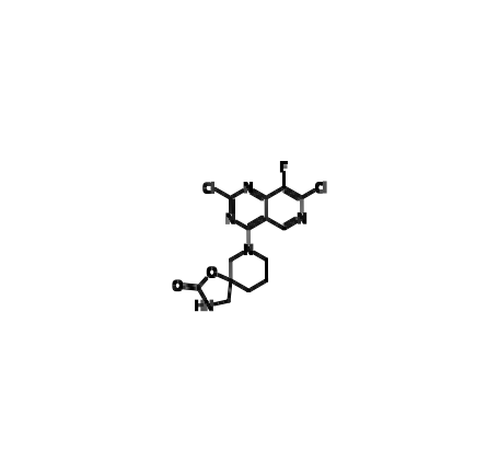 O=C1NCC2(CCCN(c3nc(Cl)nc4c(F)c(Cl)ncc34)C2)O1